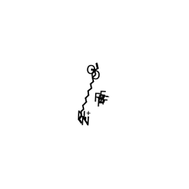 C=CC(=O)OCCCCCCCCCCC[n+]1ccn(C)c1.F[B-](F)(F)F